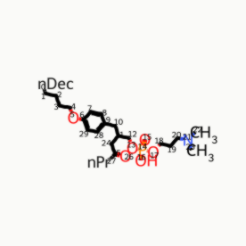 CCCCCCCCCCCCCCOc1ccc(CC(COP(=O)(O)OCCCN(C)C)CC(=O)CCC)cc1